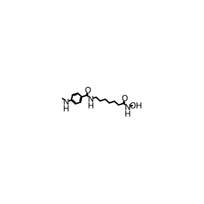 CNc1ccc(C(=O)NCCCCCCC(=O)NO)cc1